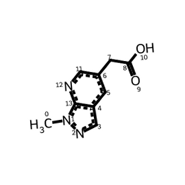 Cn1ncc2cc(CC(=O)O)cnc21